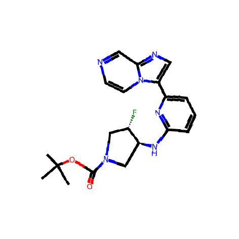 CC(C)(C)OC(=O)N1C[C@H](Nc2cccc(-c3cnc4cnccn34)n2)[C@@H](F)C1